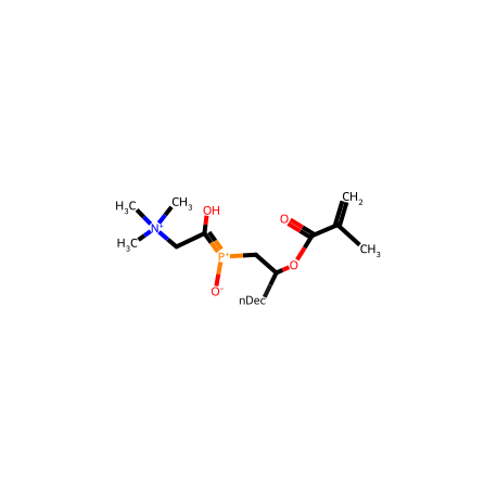 C=C(C)C(=O)OC(CCCCCCCCCC)C[P+]([O-])=C(O)C[N+](C)(C)C